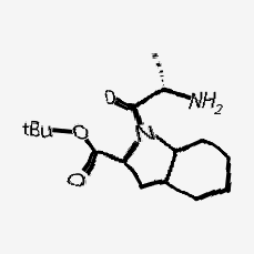 C[C@H](N)C(=O)N1C(C(=O)OC(C)(C)C)CC2CCCCC21